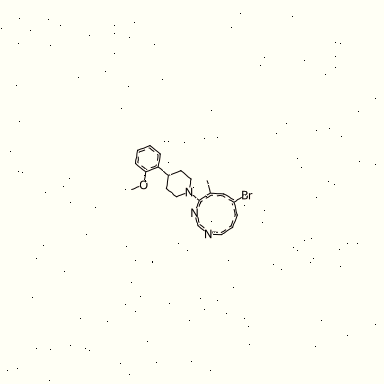 COc1ccccc1C1CCN(c2ncncccc(Br)cc2C)CC1